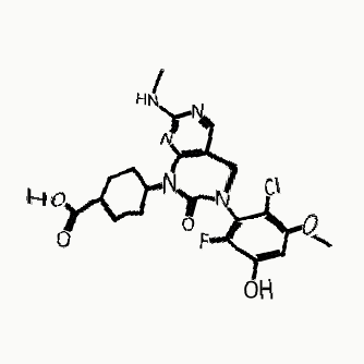 CNc1ncc2c(n1)N(C1CCC(C(=O)O)CC1)C(=O)N(c1c(F)c(O)cc(OC)c1Cl)C2